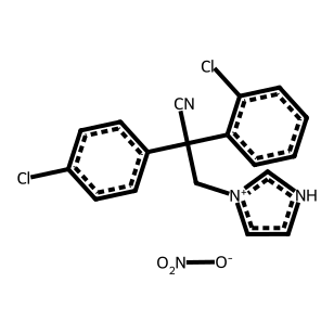 N#CC(C[n+]1cc[nH]c1)(c1ccc(Cl)cc1)c1ccccc1Cl.O=[N+]([O-])[O-]